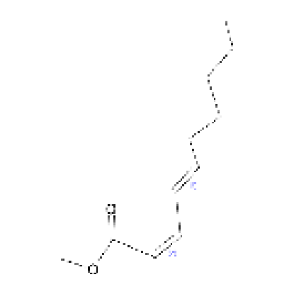 CCCCC/C=C/C=C\C(=O)OC